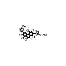 CCCCCc1nnc(-c2c(Cl)c(Cl)c3c(c2Cl)c(Cl)c(Cl)c2c(Cl)c(Cl)c(-c4nnc(CCCCC)s4)c(Cl)c23)s1